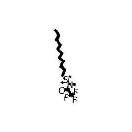 CCCCCCCCCCC[Si](C)(C)N(C)C(=O)C(F)(F)F